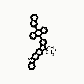 CC1(C)c2ccc(-c3c4ccccc4c(-c4ccc5ccccc5c4)c4ccccc34)cc2-c2cc3cc4sc5ccccc5c4cc3cc21